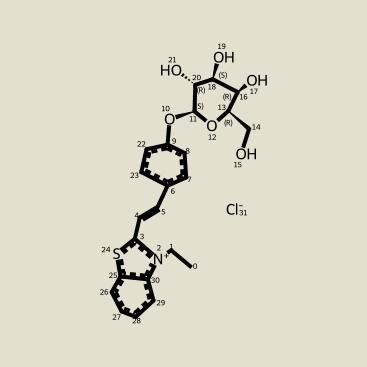 CC[n+]1c(C=Cc2ccc(O[C@@H]3O[C@H](CO)[C@H](O)[C@H](O)[C@H]3O)cc2)sc2ccccc21.[Cl-]